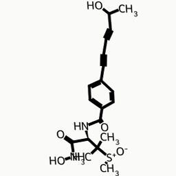 CC(O)C#CC#Cc1ccc(C(=O)N[C@H](C(=O)NO)C(C)(C)[S+](C)[O-])cc1